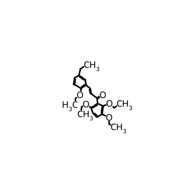 CCOc1ccc(CC)cc1C=CC(=O)c1c(OCC)ccc(OCC)c1OCC